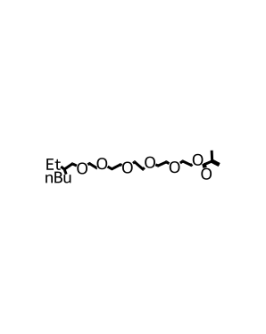 C=C(C)C(=O)OCCOCCOCCOCCOCCOCC(CC)CCCC